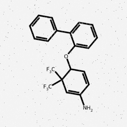 NC1=CC(C(F)(F)F)(C(F)(F)F)C(Oc2ccccc2-c2ccccc2)C=C1